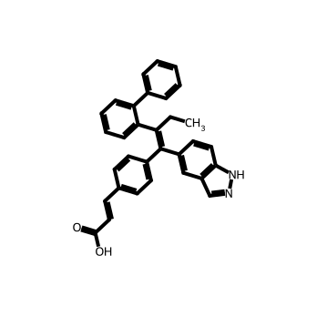 CC/C(=C(/c1ccc(/C=C/C(=O)O)cc1)c1ccc2[nH]ncc2c1)c1ccccc1-c1ccccc1